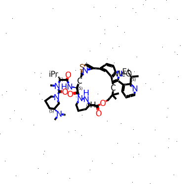 CCn1c(-c2cccnc2[C@H](C)OC)c2c3cc(ccc31)-c1csc(n1)C[C@H](NC(=O)[C@H](C(C)C)N(C)C(=O)N1CCC[C@H](N(C)C)C1)C(=O)N1CCC[C@H](N1)C(=O)OCC(C)(C)C2